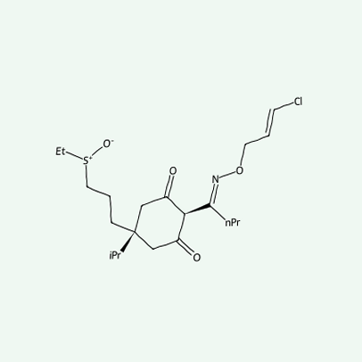 CCCC(=NOCC=CCl)[C@H]1C(=O)C[C@@](CCC[S+]([O-])CC)(C(C)C)CC1=O